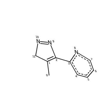 CC1=C(c2ccccn2)N=NC1